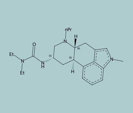 CCCN1C[C@@H](NC(=O)N(CC)CC)C[C@@H]2c3cccc4c3c(cn4C)C[C@H]21